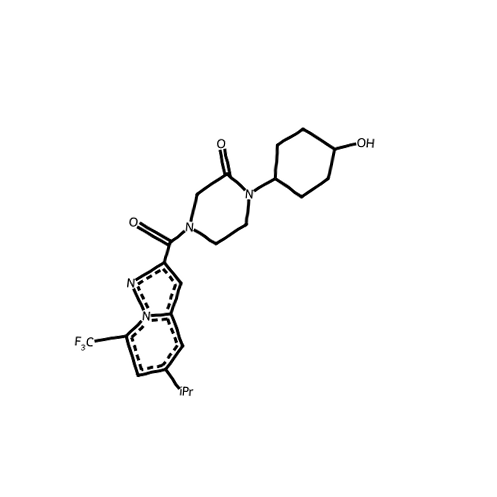 CC(C)c1cc(C(F)(F)F)n2nc(C(=O)N3CCN(C4CCC(O)CC4)C(=O)C3)cc2c1